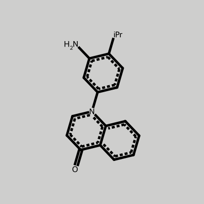 CC(C)c1ccc(-n2ccc(=O)c3ccccc32)cc1N